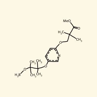 BOC(C)(C)C(C)(C)Oc1ccc(OCC(C)(C)C(=O)OC)nc1